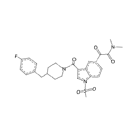 CN(C)C(=O)C(=O)c1ccc2c(c1)c(C(=O)N1CCC(Cc3ccc(F)cc3)CC1)cn2S(C)(=O)=O